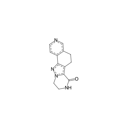 O=C1NCCn2nc3c(c21)CCc1cnccc1-3